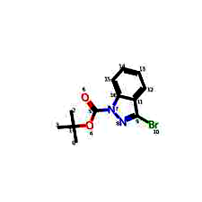 CC(C)(C)OC(=O)n1nc(Br)c2ccccc21